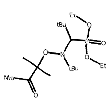 CCOP(=O)(OCC)C(N(OC(C)(C)[C](=O)[Mo])C(C)(C)C)C(C)(C)C